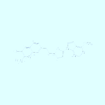 COc1ncnc2c1ccn2C1CCC(CCc2ccc3cc(Cl)c(N)nc3c2)O1